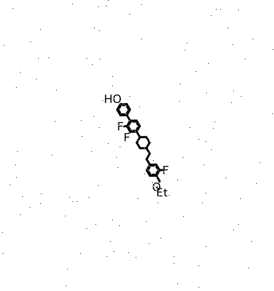 CCOCc1ccc(CCC2CCC(c3ccc(-c4ccc(O)cc4)c(F)c3F)CC2)cc1F